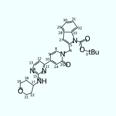 CC(C)(C)OC(=O)n1c(Cn2ccc(-c3ccnc(NC4CCOCC4)n3)cc2=O)cc2ccccc21